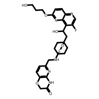 O=C1COc2ccc(CNC34CCC(CC(O)c5c(F)cnc6ccc(OCCCO)nc56)(CC3)OC4)nc2N1